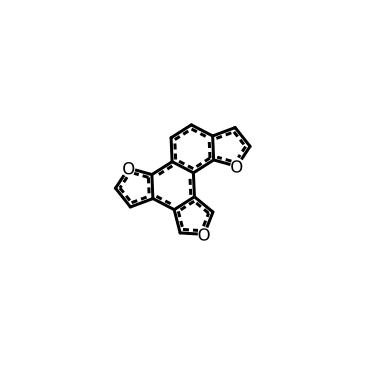 c1cc2c3cocc3c3c(ccc4ccoc43)c2o1